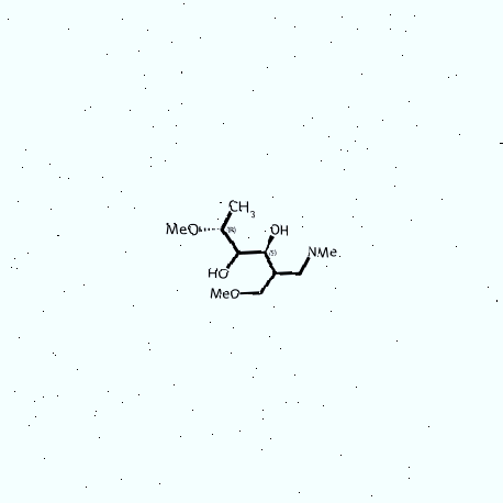 CNCC(COC)[C@H](O)C(O)[C@@H](C)OC